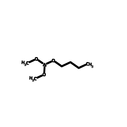 CCCC[O][Al]([O]C)[O]C